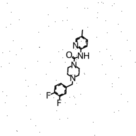 Cc1ccc(NC(=O)N2CCN(Cc3ccc(F)c(F)c3)CC2)nc1